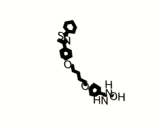 N=C(NO)c1ccc(OCCCCCOc2ccc(-c3csc(C4CCCCC4)n3)cc2)cc1